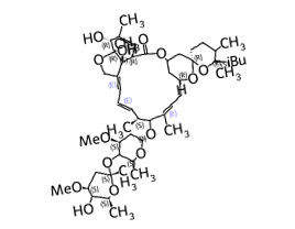 CC[C@H](C)[C@@]1(C)O[C@]2(CCC1C)CC1C[C@@H](C/C=C(\C)C(O[C@H]3C[C@H](OC)C(O[C@@]4(C)C[C@H](OC)C(O)[C@H](C)O4)[C@H](C)O3)[C@@H](C)/C=C/C=C3\CO[C@]4(C)[C@H](O)C(C)=C[C@@H](C(=O)O1)[C@]34O)O2